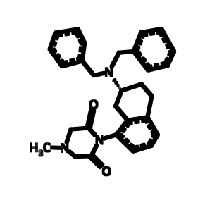 CN1CC(=O)N(c2cccc3c2C[C@H](N(Cc2ccccc2)Cc2ccccc2)CC3)C(=O)C1